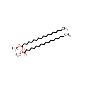 CCCCCCCCCCCCCCCCCC(=O)OC.CCCCCCCCCCCCCCCCCC(=O)OC